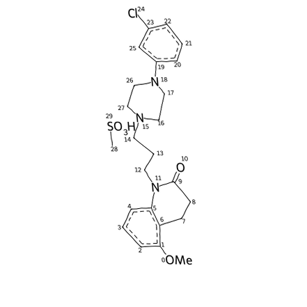 COc1cccc2c1CCC(=O)N2CCCN1CCN(c2cccc(Cl)c2)CC1.CS(=O)(=O)O